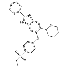 CCS(=O)(=O)c1ccc(Oc2cc3[nH]c(-c4ccccn4)nc3cc2C2CCCSS2)cc1